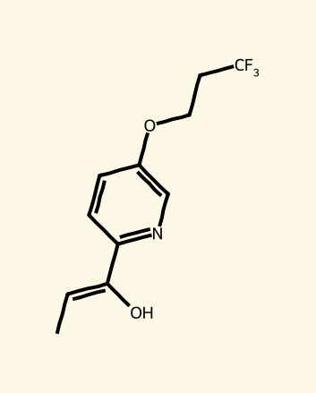 CC=C(O)c1ccc(OCCC(F)(F)F)cn1